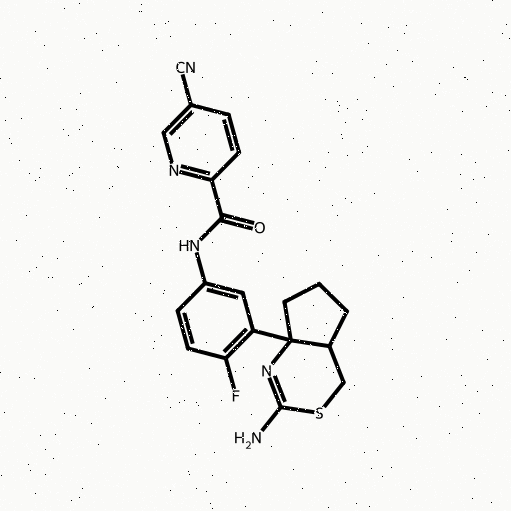 N#Cc1ccc(C(=O)Nc2ccc(F)c(C34CCCC3CSC(N)=N4)c2)nc1